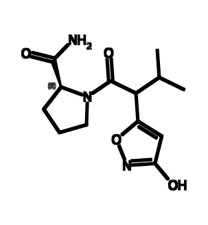 CC(C)C(C(=O)N1CCC[C@H]1C(N)=O)c1cc(O)no1